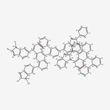 Cc1nc2ccc(-c3cccc4c(-c5ccc(-c6ccc7c(c6)nc(-c6ccccc6)n7-c6cccc7c(-c8ccccc8-c8ccccc8)c8cccc(-n9c(-c%10ccccc%10)nc%10ccccc%109)c8cc67)cc5-c5ccccc5)c5cccc(-c6ccc7nc(C)n(C)c7c6)c5cc34)cc2n1C